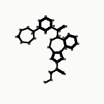 CCOC(=O)c1cc2c(s1)-c1ccccc1N(C(=O)c1cccc(N3CCCOCC3)n1)CC2